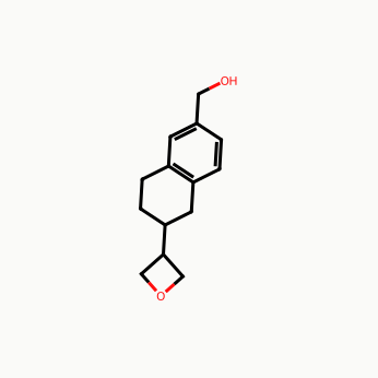 OCc1ccc2c(c1)CCC(C1COC1)C2